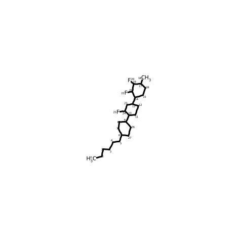 CCCCCCC1CCC(C2CCC(C3CCC(C)C(F)C3F)CC2F)CC1